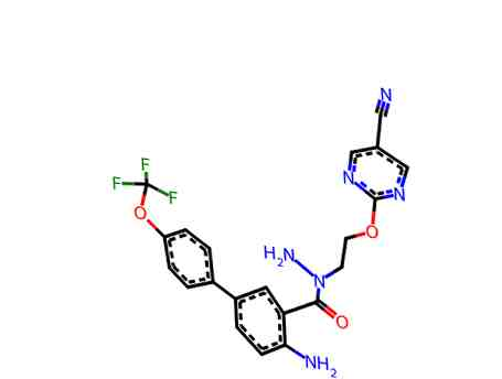 N#Cc1cnc(OCCN(N)C(=O)c2cc(-c3ccc(OC(F)(F)F)cc3)ccc2N)nc1